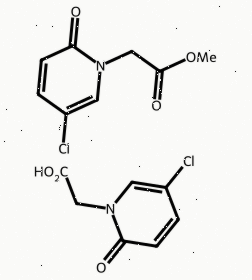 COC(=O)Cn1cc(Cl)ccc1=O.O=C(O)Cn1cc(Cl)ccc1=O